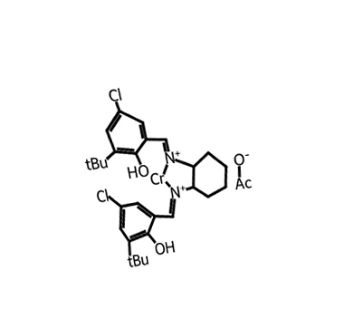 CC(=O)[O-].CC(C)(C)c1cc(Cl)cc(C=[N+]2[Cr][N+](=Cc3cc(Cl)cc(C(C)(C)C)c3O)C3CCCCC32)c1O